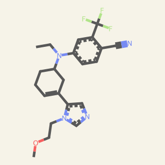 CCN(c1ccc(C#N)c(C(F)(F)F)c1)C1CCC=C(c2cncn2CCOC)C1